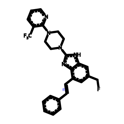 FCc1cc(/C=C/c2ccccc2)c2nc(N3CCN(c4ncccc4C(F)(F)F)CC3)[nH]c2c1